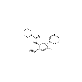 Cc1cc(C(=O)O)c(NC(=O)C2CCCCC2)cc1-c1ccccc1